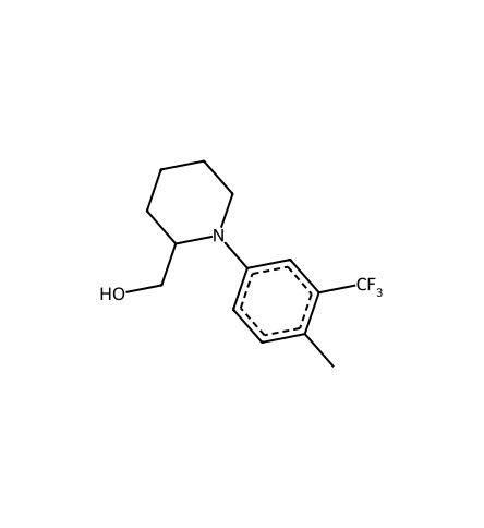 Cc1ccc(N2CCCCC2CO)cc1C(F)(F)F